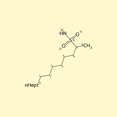 CCCCCCCCCCCCCC(C)S([NH])(=O)=O